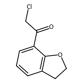 O=C(CCl)c1cccc2c1OCC2